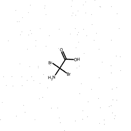 NC(Br)(Br)C(=O)O